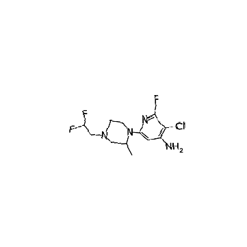 CC1CN(CC(F)F)CCN1c1cc(N)c(Cl)c(F)n1